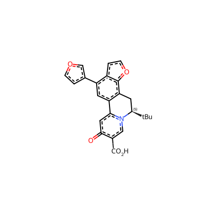 CC(C)(C)[C@@H]1Cc2c(cc(-c3ccoc3)c3ccoc23)-c2cc(=O)c(C(=O)O)cn21